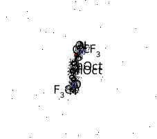 CCCCCCCCC1(CCCCCCCC)c2cc(-c3ccc(/C=C4\C(=O)ON=C4C(F)(F)F)s3)ccc2-c2ccc(-c3ccc(/C=C4\C(=O)ON=C4C(F)(F)F)s3)cc21